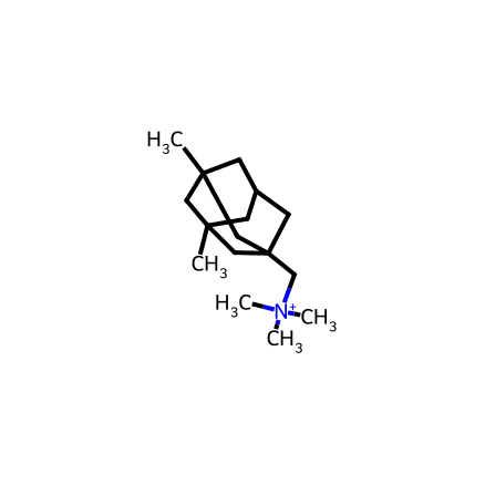 CC12CC3CC(C)(C1)CC(C[N+](C)(C)C)(C3)C2